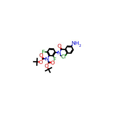 CN(C(=O)c1cc(N)ccc1Cl)c1ccc(F)c(N(C(=O)OC(C)(C)C)C(=O)OC(C)(C)C)c1F